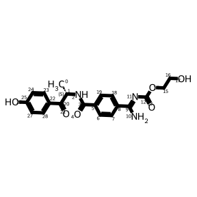 C[C@H](NC(=O)c1ccc(C(N)=NC(=O)OCCO)cc1)C(=O)c1ccc(O)cc1